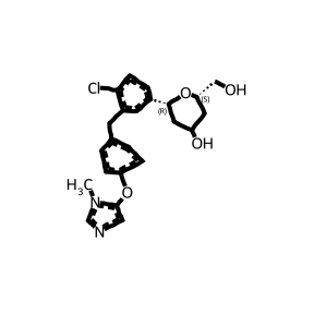 Cn1cncc1Oc1ccc(Cc2cc([C@H]3CC(O)C[C@@H](CO)O3)ccc2Cl)cc1